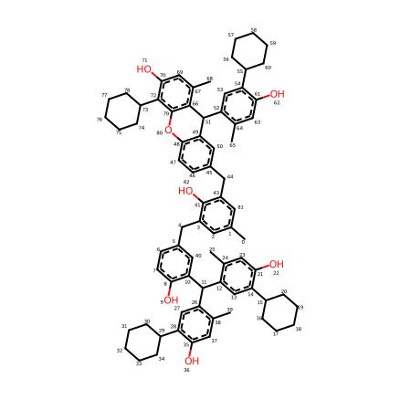 Cc1cc(Cc2ccc(O)c(C(c3cc(C4CCCCC4)c(O)cc3C)c3cc(C4CCCCC4)c(O)cc3C)c2)c(O)c(Cc2ccc3c(c2)C(c2cc(C4CCCCC4)c(O)cc2C)c2c(C)cc(O)c(C4CCCCC4)c2O3)c1